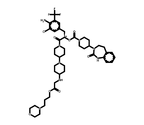 Nc1c(Cl)cc(C[C@@H](OC(=O)N2CCC(N3CCc4ccccc4NC3=O)CC2)C(=O)N2CCC(N3CCC(NCC(=O)OCCCN4CCOCC4)CC3)CC2)cc1C(F)(F)F